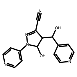 N#CC1=NN(c2ccncc2)C(O)C1C(O)c1ccncc1